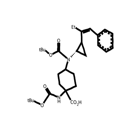 CCC(=Cc1ccccc1)C1C[C@@H]1N(C(=O)OC(C)(C)C)C1CCC(NC(=O)OC(C)(C)C)(C(=O)O)CC1